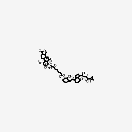 C=C1/C(=C\C=C2/CCC[C@@]3(C)C2CCC3[C@@H](C)/C=C/C(O)C2CC2)CCC[C@@H]1OC(=O)CCCCC(=O)CO[C@@H]1[C@@]2(C(C)C)O[C@H]2[C@H](O)C2(C)[C@]13O[C@H]3CC1C3=C(CC[C@@]12C)C(=O)OC3